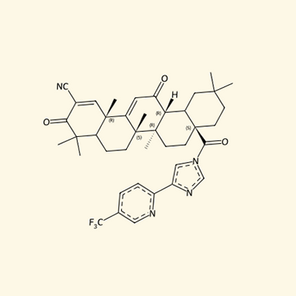 CC1(C)CC[C@]2(C(=O)n3cnc(-c4ccc(C(F)(F)F)cn4)c3)CC[C@]3(C)[C@H](C(=O)C=C4[C@@]5(C)C=C(C#N)C(=O)C(C)(C)C5CC[C@]43C)C2C1